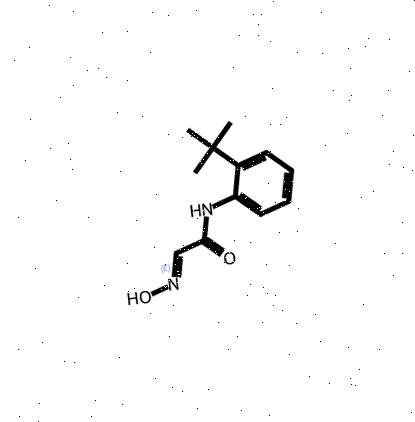 CC(C)(C)c1ccccc1NC(=O)/C=N/O